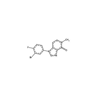 Cn1ccc2c(ncn2-c2ccc(F)c(Br)c2)c1=O